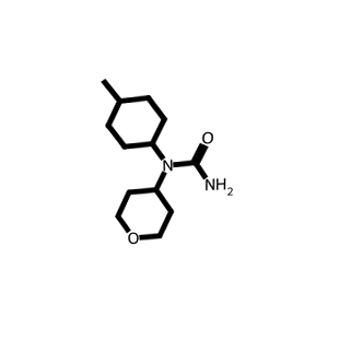 CC1CCC(N(C(N)=O)C2CCOCC2)CC1